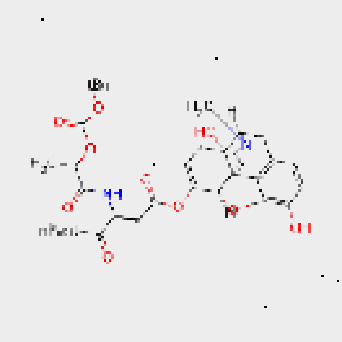 CCCCCC(=O)[C@H](CC(=O)OC1=CC[C@@]2(O)[C@H]3Cc4ccc(O)c5c4[C@@]2(CCN3C)[C@H]1O5)NC(=O)[C@H](C)OC(=O)OC(C)(C)C